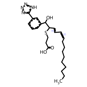 CCCCCCCCC/C=C\C=C\C(SCCC(=O)O)C(O)c1cccc(-c2nnn[nH]2)c1